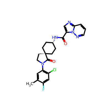 Cc1cc(N2CC[C@]3(CC[C@@H](NC(=O)c4cnc5cccnn45)CC3)C2=O)c(Cl)cc1F